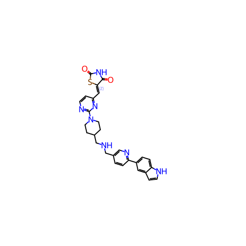 O=C1NC(=O)/C(=C/c2ccnc(N3CCC(CNCc4ccc(-c5ccc6[nH]ccc6c5)nc4)CC3)n2)S1